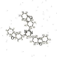 c1ccc2c(c1)oc1ccc(-c3cc(-c4ccc5oc6ccccc6c5c4)nc(-c4ccc5oc6ccccc6c5c4)n3)cc12